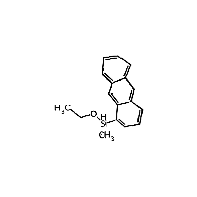 CCO[SiH](C)c1cccc2cc3ccccc3cc12